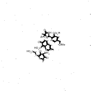 COCc1cnc(C2=NC(C)(C(C)C)C(=O)N2)c(C(=O)O)c1.Cc1cnc2c(C(=O)O)c(Cl)ccc2c1.Nc1c(Cl)c(F)nc(OCC(=O)O)c1Cl